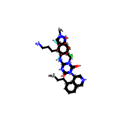 Cn1cc2c(CCCN)c(Nc3nc(=O)n(-c4cncc5cccc(CCC(=O)O)c45)c(=O)n3Cc3cc(F)c(F)cc3F)c(Cl)cc2n1